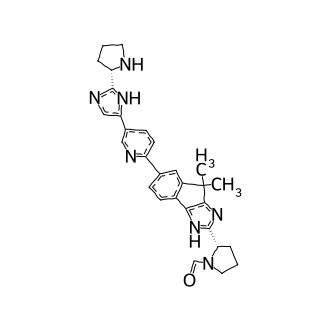 CC1(C)c2cc(-c3ccc(-c4cnc([C@@H]5CCCN5)[nH]4)cn3)ccc2-c2[nH]c([C@@H]3CCCN3C=O)nc21